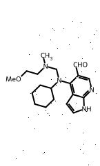 COCCN(C)CN(c1c(C=O)cnc2[nH]ccc12)C1CCCCC1